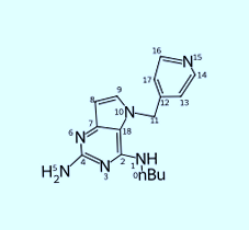 CCCCNc1nc(N)nc2ccn(Cc3ccncc3)c12